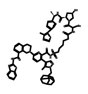 Cc1ncsc1-c1ccc([C@H](C)NC(=O)[C@@H]2C[C@@H](O)CN2C(=O)C(NC(=O)CCCCCS(=O)(=O)NC(=O)c2nc(N3CCc4cccc(C(=O)Nc5nc6ccccc6s5)c4C3)ccc2-c2cnn(CC34CC5CC(CC(C5)C3)C4)c2C)C(C)(C)C)cc1